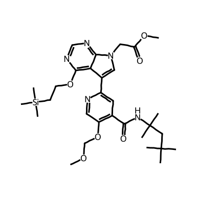 COCOc1cnc(-c2cn(CC(=O)OC)c3ncnc(OCC[Si](C)(C)C)c23)cc1C(=O)NC(C)(C)CC(C)(C)C